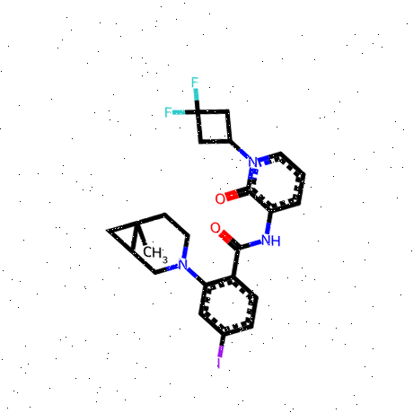 CC12CCN(c3cc(I)ccc3C(=O)Nc3cccn(C4CC(F)(F)C4)c3=O)CC1C2